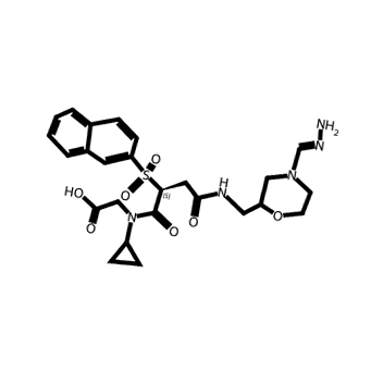 NN=CN1CCOC(CNC(=O)C[C@@H](C(=O)N(CC(=O)O)C2CC2)S(=O)(=O)c2ccc3ccccc3c2)C1